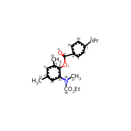 CCCc1ccc(C(=O)Oc2c(C)cc(C)cc2N(C)C(=O)OCC)cc1